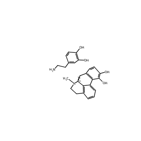 CN1CCc2cccc3c2[C@H]1Cc1ccc(O)c(O)c1-3.NCCc1ccc(O)c(O)c1